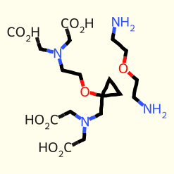 NCCOCCN.O=C(O)CN(CCOC1(CN(CC(=O)O)CC(=O)O)CC1)CC(=O)O